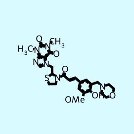 COc1cc(C=CC(=O)N2CCSC2Cn2cnc3c2c(=O)n(C)c(=O)n3C)cc(CN2CCOCC2)c1O